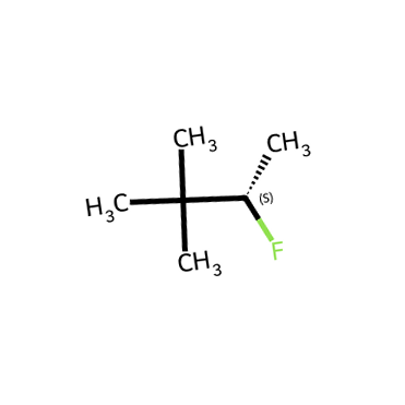 C[C@H](F)C(C)(C)C